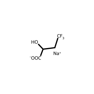 O=C([O-])C(O)CC(F)(F)F.[Na+]